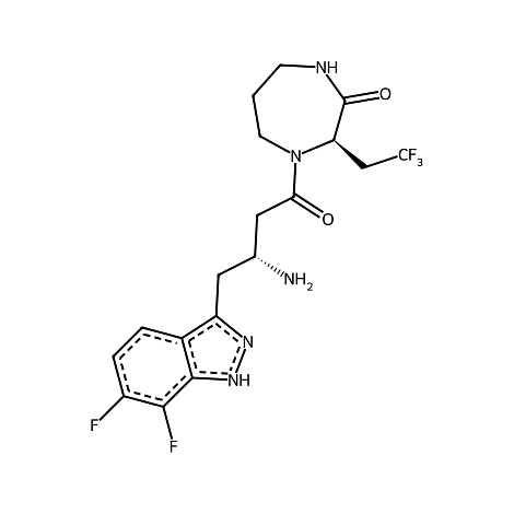 N[C@@H](CC(=O)N1CCCNC(=O)[C@H]1CC(F)(F)F)Cc1n[nH]c2c(F)c(F)ccc12